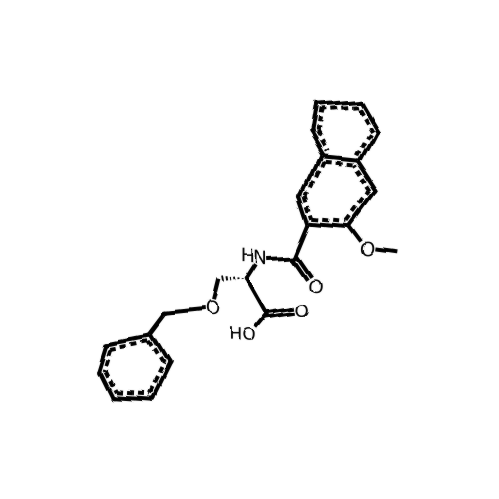 COc1cc2ccccc2cc1C(=O)N[C@@H](COCc1ccccc1)C(=O)O